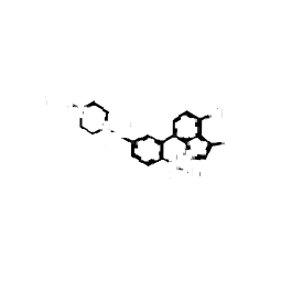 CN1CCN(S(=O)(=O)c2ccc(S(N)(=O)=O)c(-c3ccc(Cl)c4c(Cl)c[nH]c34)c2)CC1